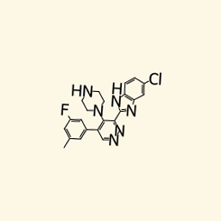 Cc1cc(F)cc(-c2cnnc(-c3nc4cc(Cl)ccc4[nH]3)c2N2CCNCC2)c1